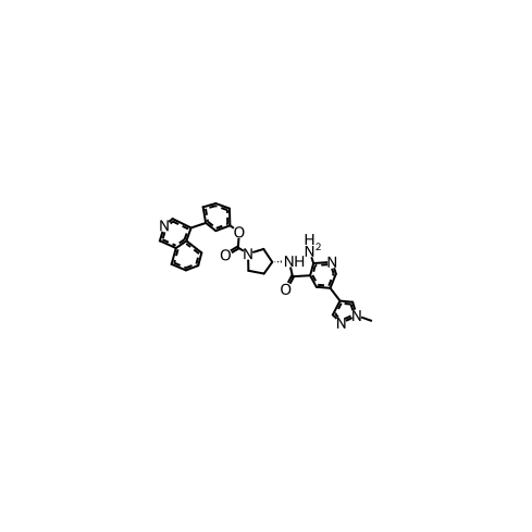 Cn1cc(-c2cnc(N)c(C(=O)N[C@@H]3CCN(C(=O)Oc4cccc(-c5cncc6ccccc56)c4)C3)c2)cn1